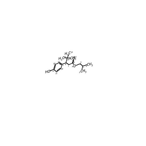 CC(C)COC(=O)CC(c1ccc(O)cc1)C(C)(C)C